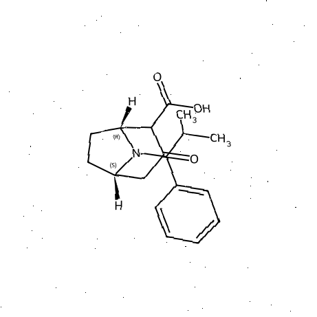 CC(C)C(c1ccccc1)N1[C@H]2CC[C@@H]1C(C(=O)O)C(=O)C2